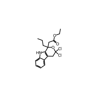 CCCC1(CC(=O)OCC)OC(Cl)(Cl)Cc2c1[nH]c1ccccc21